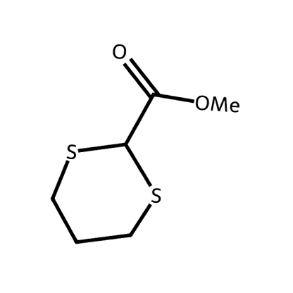 COC(=O)C1SCCCS1